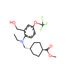 CCN(C[C@H]1CC[C@H](C(=O)OC)CC1)c1ccc(OC(F)(F)F)cc1CO